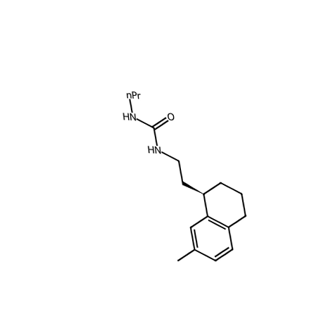 CCCNC(=O)NCC[C@H]1CCCc2ccc(C)cc21